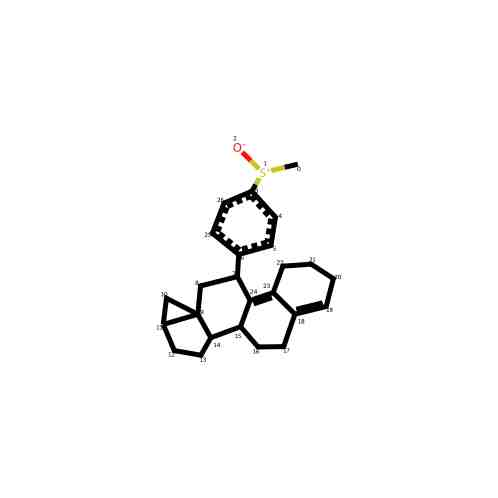 C[S+]([O-])c1ccc(C2CC34CC3CCC4C3CCC4=CCCCC4=C23)cc1